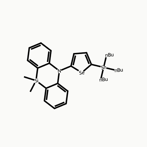 CCC[CH2][Sn]([CH2]CCC)([CH2]CCC)[c]1ccc(N2c3ccccc3[Si](C)(C)c3ccccc32)[se]1